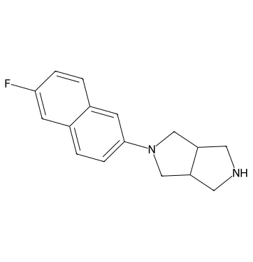 Fc1ccc2cc(N3CC4CNCC4C3)ccc2c1